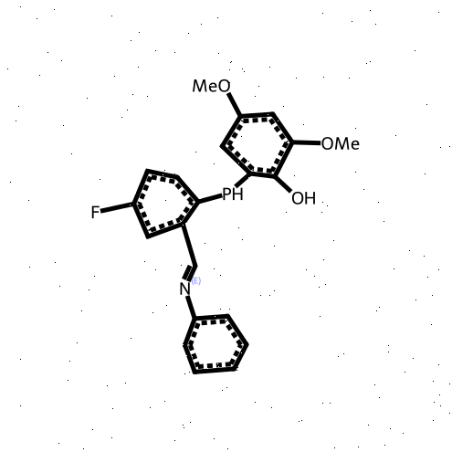 COc1cc(OC)c(O)c(Pc2ccc(F)cc2/C=N/c2ccccc2)c1